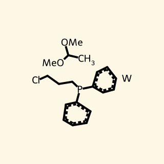 COC(C)OC.ClCCCP(c1ccccc1)c1ccccc1.[W]